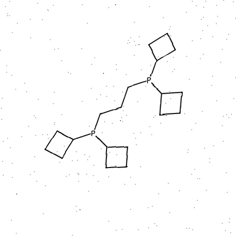 C1CC(P(CCCP(C2CCC2)C2CCC2)C2CCC2)C1